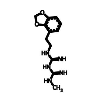 CNC(=N)NC(=N)NCCc1cccc2c1OCO2